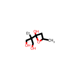 CCC(CO)(CO)C1(O)CC(C)O1